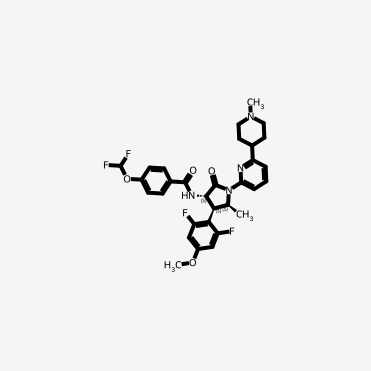 COc1cc(F)c([C@H]2[C@H](NC(=O)c3ccc(OC(F)F)cc3)C(=O)N(c3cccc(C4CCN(C)CC4)n3)[C@H]2C)c(F)c1